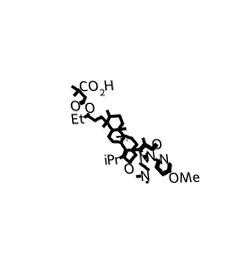 CCC(CCC1(C)C(C)CCC2(C)C1CCC1C3=C(C(C)C)C(=O)CC3(c3c(C)c(=O)n(-c4ccc(OC)cn4)n3CCN(C)C)CC[C@]12C)OC(=O)CC(C)(C)C(=O)O